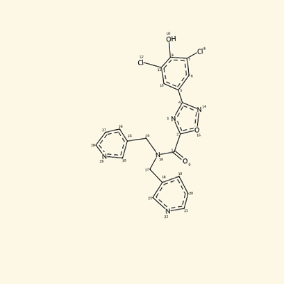 O=C(c1nc(-c2cc(Cl)c(O)c(Cl)c2)no1)N(Cc1cccnc1)Cc1cccnc1